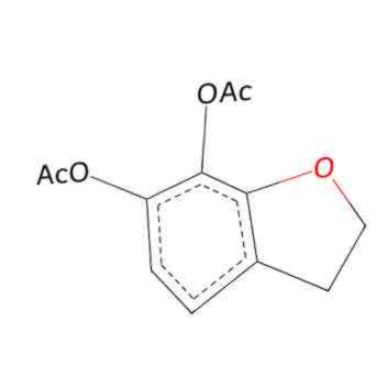 CC(=O)Oc1ccc2c(c1OC(C)=O)OCC2